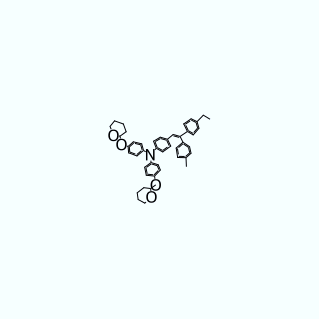 CCc1ccc(C(=Cc2ccc(N(c3ccc(OC4CCCCO4)cc3)c3ccc(OC4CCCCO4)cc3)cc2)c2ccc(C)cc2)cc1